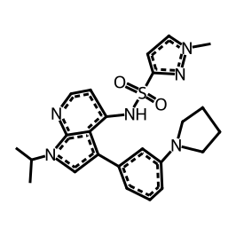 CC(C)n1cc(-c2cccc(N3CCCC3)c2)c2c(NS(=O)(=O)c3ccn(C)n3)ccnc21